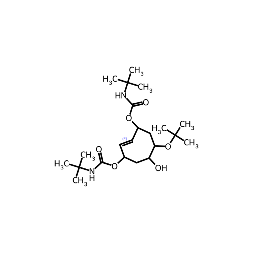 CC(C)(C)NC(=O)OC1/C=C/C(OC(=O)NC(C)(C)C)CC(OC(C)(C)C)C(O)C1